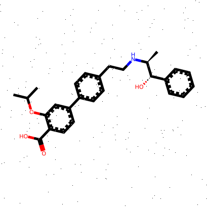 CC(C)Oc1cc(-c2ccc(CCN[C@@H](C)[C@@H](O)c3ccccc3)cc2)ccc1C(=O)O